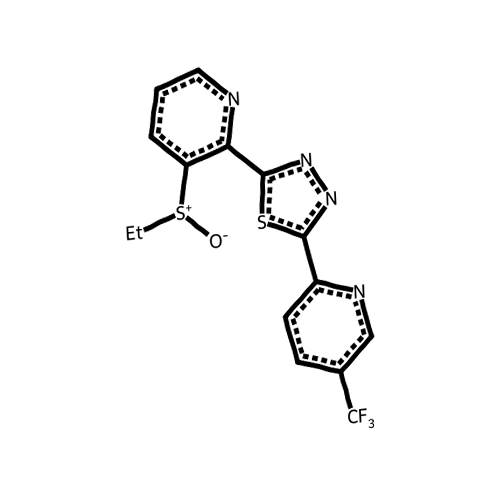 CC[S+]([O-])c1cccnc1-c1nnc(-c2ccc(C(F)(F)F)cn2)s1